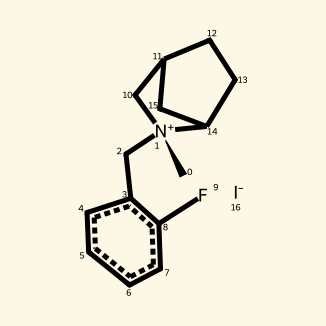 C[N@@+]1(Cc2ccccc2F)CC2CCC1C2.[I-]